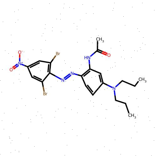 CCCN(CCC)c1ccc(N=Nc2c(Br)cc([N+](=O)[O-])cc2Br)c(NC(C)=O)c1